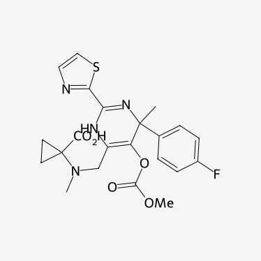 COC(=O)OC1=C(CN(C)C2(C(=O)O)CC2)NC(c2nccs2)=NC1(C)c1ccc(F)cc1